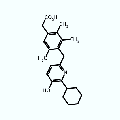 Cc1cc(CC(=O)O)c(C)c(C)c1Cc1ccc(O)c(C2CCCCC2)n1